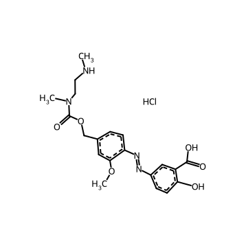 CNCCN(C)C(=O)OCc1ccc(N=Nc2ccc(O)c(C(=O)O)c2)c(OC)c1.Cl